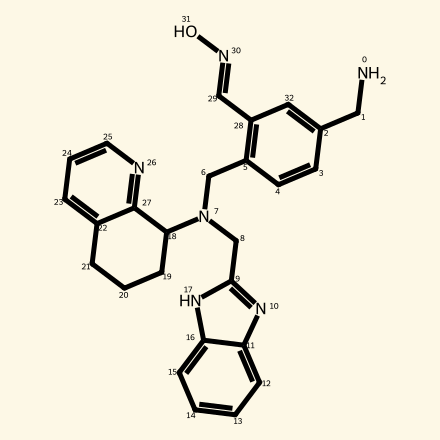 NCc1ccc(CN(Cc2nc3ccccc3[nH]2)C2CCCc3cccnc32)c(C=NO)c1